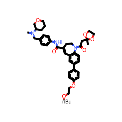 CCCCOCCOc1ccc(-c2ccc3c(c2)C=C(C(=O)Nc2ccc(CN(C)C4CCCOC4)cc2)CCN3C(=O)CC2(C)OCCO2)cc1